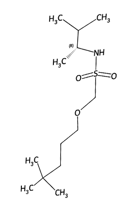 CC(C)[C@@H](C)NS(=O)(=O)COCCCC(C)(C)C